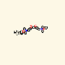 C=C/C=C\c1c(C)oc2c(N(c3ccccc3)c3ccc4cc5c(cc4c3)oc3cc4oc6c(c4cc35)CC3C=CC(N(c4ccccc4)c4cccc5c4oc4ccccc45)=CC3=C6)cccc12